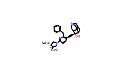 CO[C@@H]1CN(c2ccc(C#CC3(O)C4CC5CC3CN(C5)C4)c(Cc3ccccc3)n2)C[C@H]1OC